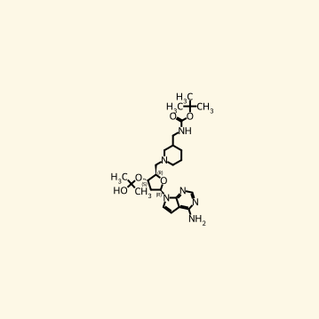 CC(C)(C)OC(=O)NCC1CCCN(C[C@H]2O[C@@H](n3ccc4c(N)ncnc43)C[C@@H]2OC(C)(C)O)C1